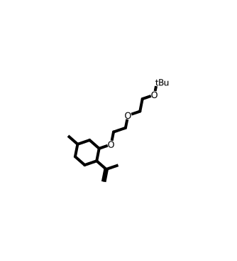 C=C(C)C1CCC(C)CC1OCCOCCOC(C)(C)C